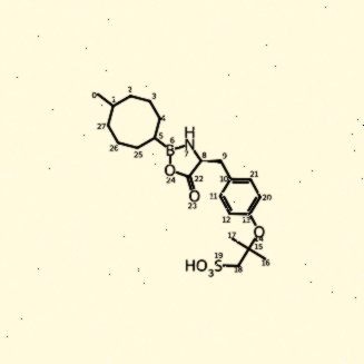 CC1CCCC(B2N[C@@H](Cc3ccc(OC(C)(C)CS(=O)(=O)O)cc3)C(=O)O2)CCC1